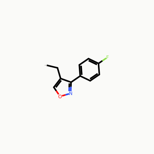 [CH2]Cc1conc1-c1ccc(F)cc1